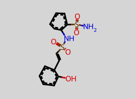 NS(=O)(=O)c1ccccc1NS(=O)(=O)C=Cc1ccccc1O